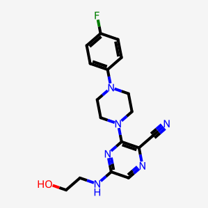 N#Cc1ncc(NCCO)nc1N1CCN(c2ccc(F)cc2)CC1